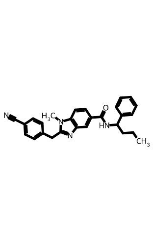 CCCC(NC(=O)c1ccc2c(c1)nc(Cc1ccc(C#N)cc1)n2C)c1ccccc1